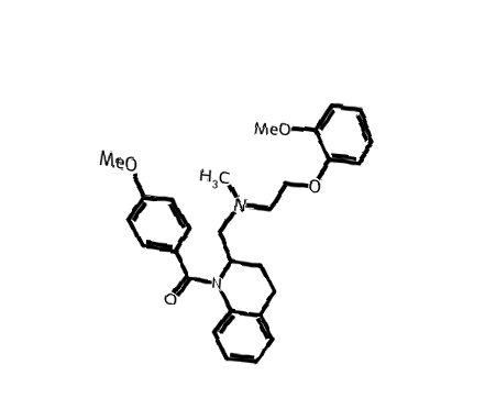 COc1ccc(C(=O)N2c3ccccc3CCC2CN(C)CCOc2ccccc2OC)cc1